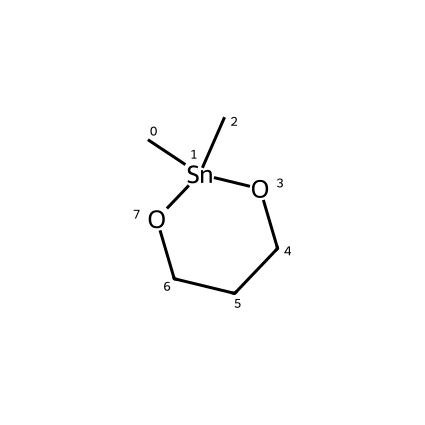 [CH3][Sn]1([CH3])[O]CCC[O]1